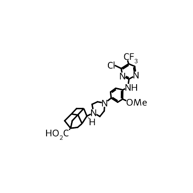 COc1cc(N2CCN([C@H]3C4CC5CC3C[C@@](C(=O)O)(C5)C4)CC2)ccc1Nc1ncc(C(F)(F)F)c(Cl)n1